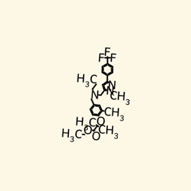 CCCN(Cc1ccc(OC(C)(C)C(=O)OCC)c(C)c1)Cc1cc(-c2ccc(C(F)(F)F)cc2)nn1C